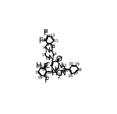 Cc1c(N2CCN(Cc3c(F)ccc(F)c3F)CC2)c(=O)n(C[C@H](N)c2ccccc2)c(=O)n1Cc1c(F)cccc1F